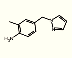 Cc1cc(Cn2cccn2)ccc1N